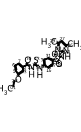 CCCOc1cccc(C(=O)NC(=S)Nc2ccc(S(=O)(=O)Nc3nc(C)cc(C)n3)cc2)c1